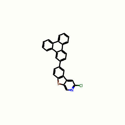 Clc1cc2c(cn1)sc1ccc(-c3ccc4c5ccccc5c5ccccc5c4c3)cc12